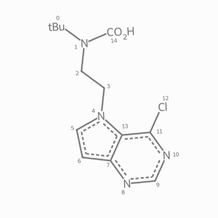 CC(C)(C)N(CCn1ccc2ncnc(Cl)c21)C(=O)O